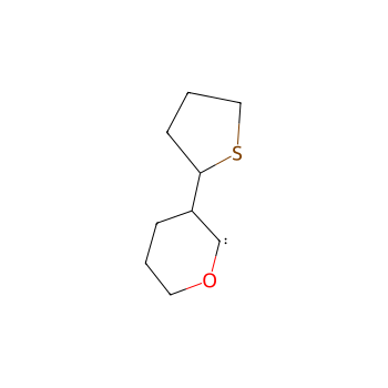 [C]1OCCCC1C1CCCS1